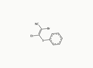 CCC(Sc1ccccc1)=C(Br)C#N